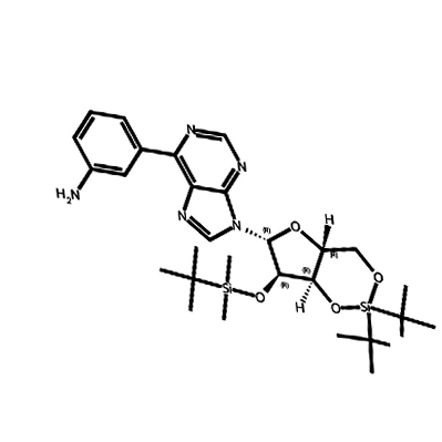 CC(C)(C)[Si](C)(C)O[C@@H]1[C@@H]2O[Si](C(C)(C)C)(C(C)(C)C)OC[C@H]2O[C@H]1n1cnc2c(-c3cccc(N)c3)ncnc21